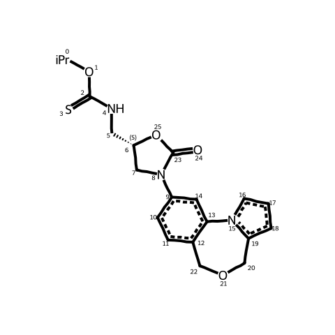 CC(C)OC(=S)NC[C@H]1CN(c2ccc3c(c2)-n2cccc2COC3)C(=O)O1